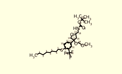 CCCCCCCCSc1ccc(C(CO)(CCCNC(=O)OC(C)(C)C)OCOC)cc1C(F)(F)F